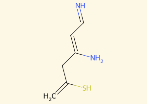 C=C(S)C/C(N)=C/C=N